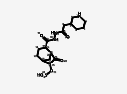 O=C(CC1CCCNC1)NNC(=O)[C@@H]1CCC2CN1C(=O)N2OS(=O)(=O)O